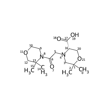 CC1(C)CN(CC(=O)N2CCOCC2(C)C)[C@H](C(=O)O)CO1